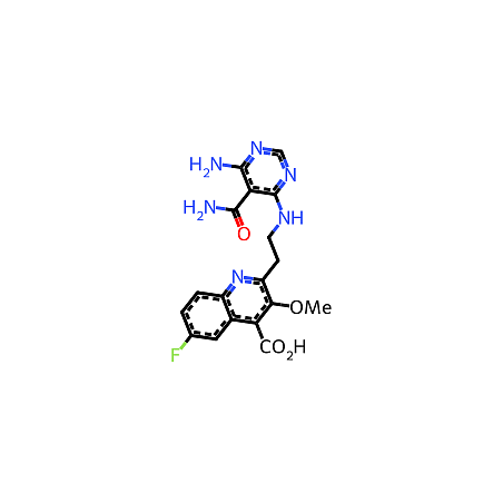 COc1c(CCNc2ncnc(N)c2C(N)=O)nc2ccc(F)cc2c1C(=O)O